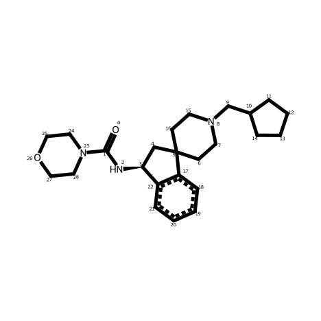 O=C(N[C@H]1CC2(CCN(CC3CCCC3)CC2)c2ccccc21)N1CCOCC1